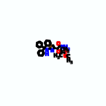 COC(=O)C(C)(C)OC(C(N)=O)c1csc(NC(c2ccccc2)(c2ccccc2)c2ccccc2)n1